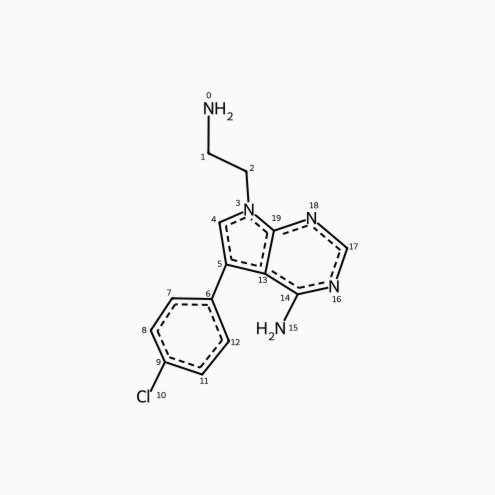 NCCn1cc(-c2ccc(Cl)cc2)c2c(N)ncnc21